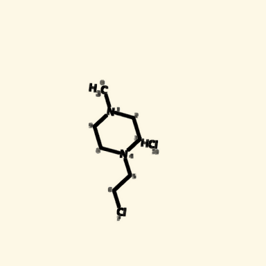 CN1CCN(CCCl)CC1.Cl